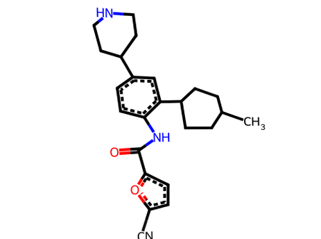 CC1CCC(c2cc(C3CCNCC3)ccc2NC(=O)c2ccc(C#N)o2)CC1